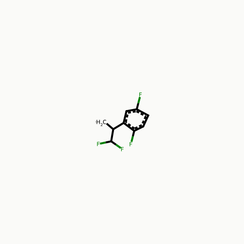 [CH2]C(c1cc(F)ccc1F)C(F)F